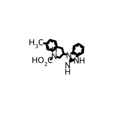 Cc1ccc(CC(CNC(=O)O)n2c(=N)[nH]c3ccccc32)cc1